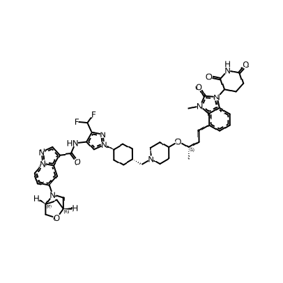 C[C@@H](CCc1cccc2c1n(C)c(=O)n2C1CCC(=O)NC1=O)OC1CCN(C[C@H]2CC[C@H](n3cc(NC(=O)c4cnn5ccc(N6C[C@H]7C[C@@H]6CO7)cc45)c(C(F)F)n3)CC2)CC1